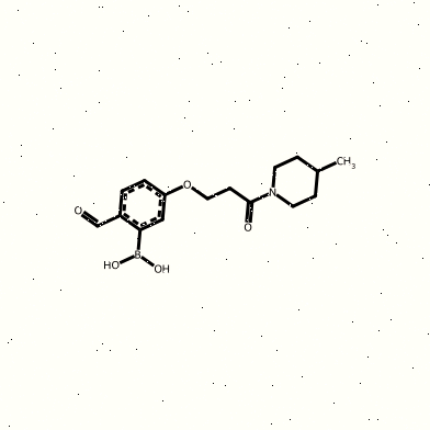 CC1CCN(C(=O)CCOc2ccc(C=O)c(B(O)O)c2)CC1